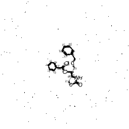 O=C1N[C@@H]([C@@H](COCc2ccccc2)OC(=O)c2ccccc2)CO1